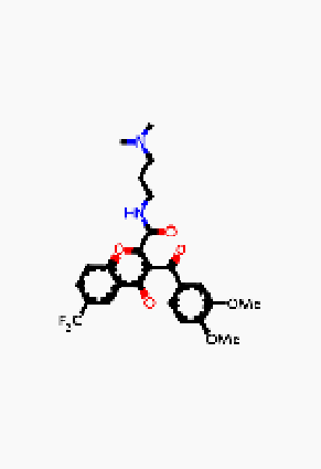 COc1ccc(C(=O)c2c(C(=O)NCCCN(C)C)oc3ccc(C(F)(F)F)cc3c2=O)cc1OC